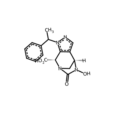 CC(c1ccccc1)n1ncc2c1[C@@H](C(=O)O)N1C[C@@H]2N(O)C1=O